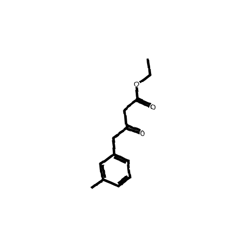 CCOC(=O)CC(=O)Cc1cccc(C)c1